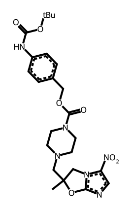 CC(C)(C)OC(=O)Nc1ccc(COC(=O)N2CCN(CC3(C)Cn4c([N+](=O)[O-])cnc4O3)CC2)cc1